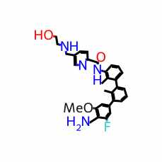 COc1cc(-c2cccc(-c3cccc(NC(=O)c4ccc(CNCCO)cn4)c3C)c2C)cc(F)c1CN